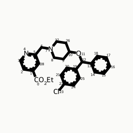 CCOC(=O)c1ccnc(CN2CCC(OC(c3ccccc3)c3ccc(Cl)cc3)CC2)c1